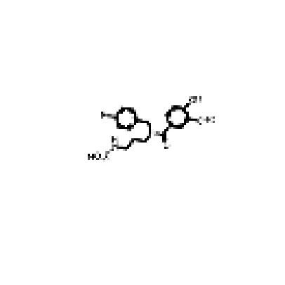 O=Cc1cc(C(=O)N(CCCNC(=O)O)Cc2ccc(F)cc2)ccc1O